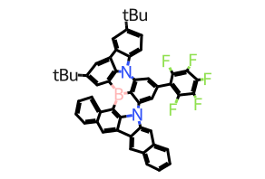 CC(C)(C)c1ccc2c(c1)c1cc(C(C)(C)C)cc3c1n2-c1cc(-c2c(F)c(F)c(F)c(F)c2F)cc2c1B3c1c3ccccc3cc3c4cc5ccccc5cc4n-2c13